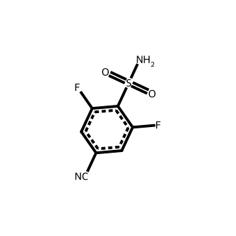 N#Cc1cc(F)c(S(N)(=O)=O)c(F)c1